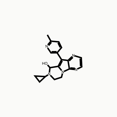 Cc1ccc(-c2c3n(c4nccnc24)CCN(C2CC2)C3O)cn1